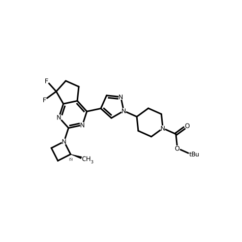 C[C@H]1CCN1c1nc(-c2cnn(C3CCN(C(=O)OC(C)(C)C)CC3)c2)c2c(n1)C(F)(F)CC2